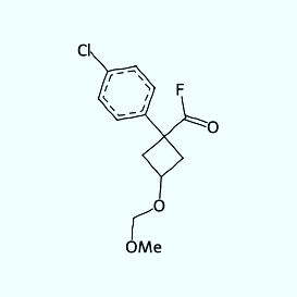 COCOC1CC(C(=O)F)(c2ccc(Cl)cc2)C1